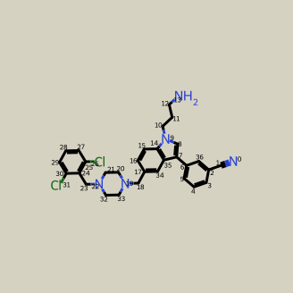 N#Cc1cccc(-c2cn(CCCN)c3ccc(CN4CCN(Cc5c(Cl)cccc5Cl)CC4)cc23)c1